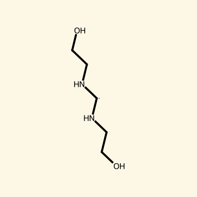 OCCN[CH]NCCO